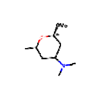 CO[C@H]1CC(N(C)C)CC(C)O1